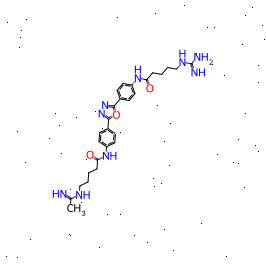 CC(=N)NCCCCC(=O)Nc1ccc(-c2nnc(-c3ccc(NC(=O)CCCCNC(=N)N)cc3)o2)cc1